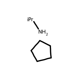 C1CCCC1.CC(C)N